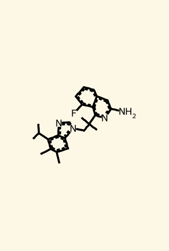 Cc1cc2c(ncn2CC(C)(C)c2nc(N)cc3cccc(F)c23)c(C(C)C)c1C